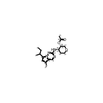 CCC(C)c1cc(F)c2cnc(N[C@@H]3CCOC[C@H]3OC(C)=O)nn12